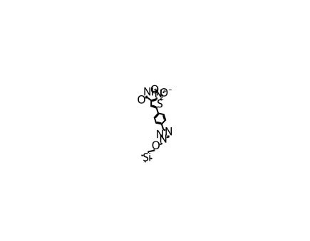 C[Si](C)(C)CCOCn1cnc(-c2ccc(-c3cc(C(N)=O)c([N+](=O)[O-])s3)cc2)n1